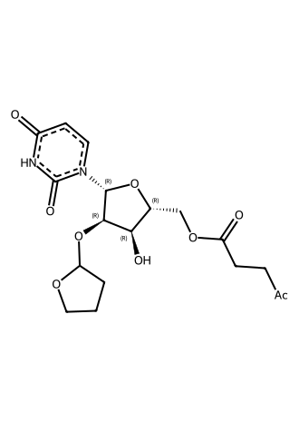 CC(=O)CCC(=O)OC[C@H]1O[C@@H](n2ccc(=O)[nH]c2=O)[C@H](OC2CCCO2)[C@@H]1O